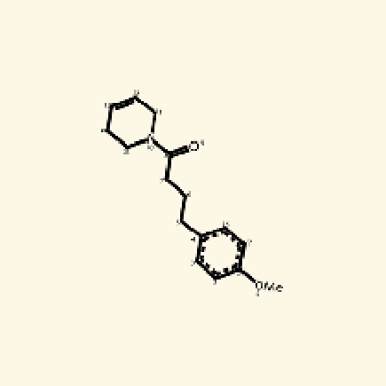 COc1ccc(CCCC(=O)N2CC=CCC2)cc1